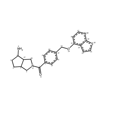 NC1CCC2CN(C(=O)c3ccc(COc4ccnc5sccc45)cc3)CC12